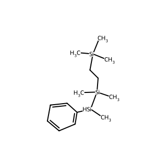 C[SiH](c1ccccc1)[Si](C)(C)CC[Si](C)(C)C